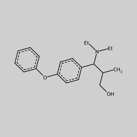 CCN(CC)C(c1ccc(Oc2ccccc2)cc1)C(C)CO